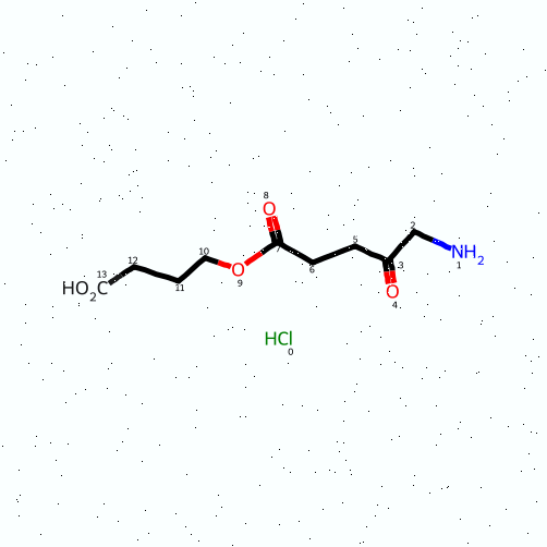 Cl.NCC(=O)CCC(=O)OCCCC(=O)O